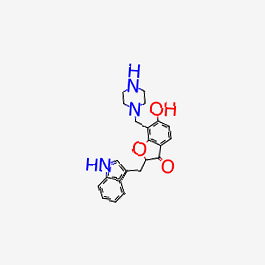 O=C1c2ccc(O)c(CN3CCNCC3)c2OC1Cc1c[nH]c2ccccc12